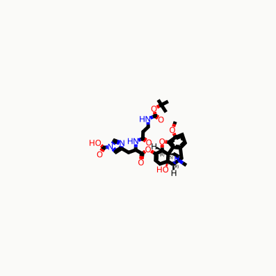 COc1ccc2c3c1O[C@H]1C(OC(=O)C(Cc4cn(C(=O)O)cn4)NC(=O)CCNC(=O)OC(C)(C)C)=CC[C@@]4(O)[C@@H](C2)N(C)CC[C@]314